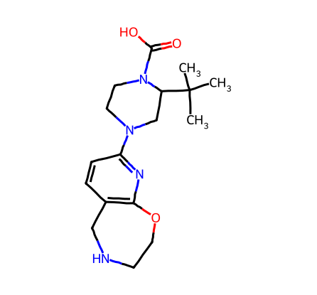 CC(C)(C)C1CN(c2ccc3c(n2)OCCNC3)CCN1C(=O)O